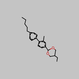 CCCCCc1ccc(-c2ccc(C3OCC(CC)CO3)cc2C)cc1